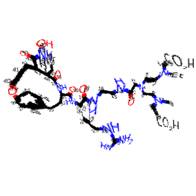 CCN(CCN(CCN(C)CC(=O)O)CC(=O)NCCNC(=O)[C@H](CCCNC(=N)N)NC(=O)C1Cc2ccc(cc2)OCCCC(C(=O)NO)[C@@H](CC(C)C)C(=O)N1)CC(=O)O